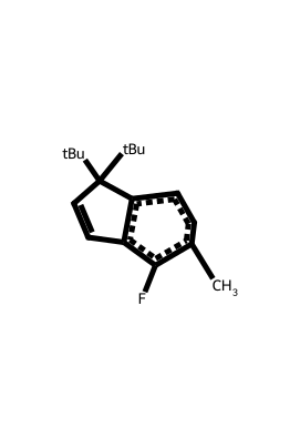 Cc1ccc2c(c1F)C=CC2(C(C)(C)C)C(C)(C)C